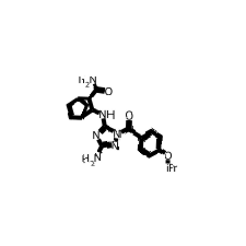 CC(C)Oc1ccc(C(=O)n2nc(N)nc2NC2C3C=CC(C3)C2C(N)=O)cc1